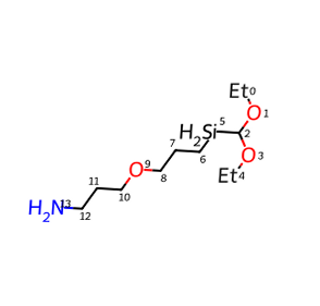 CCOC(OCC)[SiH2]CCCOCCCN